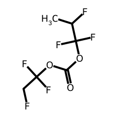 CC(F)C(F)(F)OC(=O)OC(F)(F)CF